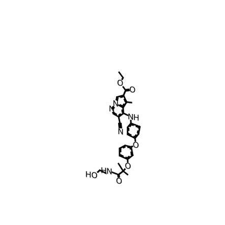 CCOC(=O)c1cn2ncc(C#N)c(Nc3ccc(Oc4cccc(OC(C)(C)C(=O)NCCO)c4)cc3)c2c1C